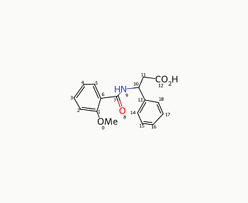 COc1ccccc1C(=O)NC(CC(=O)O)c1ccccc1